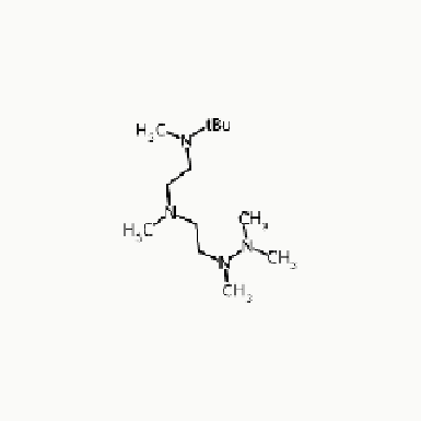 CN(CCN(C)N(C)C)CCN(C)C(C)(C)C